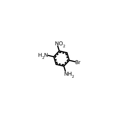 Nc1cc(N)c([N+](=O)[O-])cc1Br